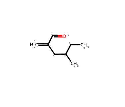 C=C(C=O)CC(C)CC